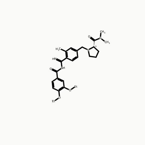 CCOc1ccc(C(=O)NC(=N)c2ccc(CN3CCC[C@H]3C(=O)N(C)C)cc2C)cc1OCC